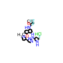 COC(CNc1cccc2c(Oc3ncccc3-c3ccnc(N[C@H]4CNC[C@H](F)C4)n3)c(C)ccc12)C(F)(F)F.Cl